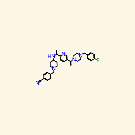 C=C(NC1CCN(Cc2ccc(C#N)cc2)CC1)c1ccc(C(=C)N2CCN(Cc3ccc(F)cc3)CC2)cn1